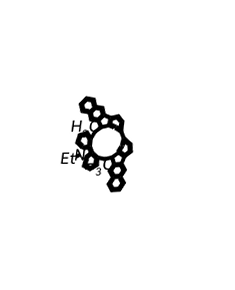 CCn1c2cccc3c2c2c(cccc21)C[C@]1(C)c2cc(ccc2-c2cc4ccccc4cc21)-c1ccc2c(c1)[C@](C)(C3)c1cc3ccccc3cc1-2